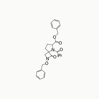 CC(C)C(=O)N1C(C(=O)OCc2ccccc2)CCC12CN(OCc1ccccc1)C2=O